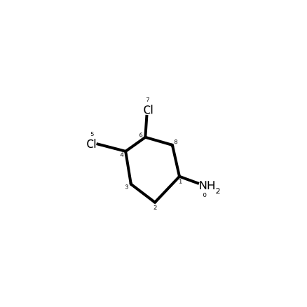 NC1CCC(Cl)C(Cl)C1